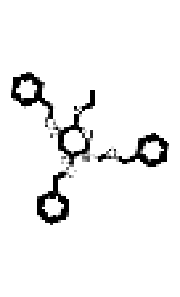 CCSC1O[C@H](COCc2ccccc2)[C@@H](OCc2ccccc2)C[C@H]1OCc1ccccc1